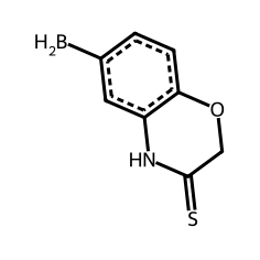 Bc1ccc2c(c1)NC(=S)CO2